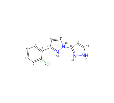 Clc1ccccc1-c1ccn(-c2cc[nH]n2)n1